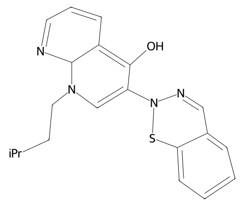 CC(C)CCN1C=C(N2N=Cc3ccccc3S2)C(O)=C2C=CC=NC21